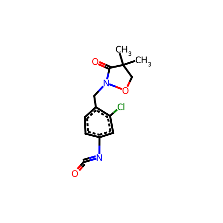 CC1(C)CON(Cc2ccc(N=C=O)cc2Cl)C1=O